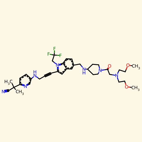 COCCN(CCOC)CC(=O)N1CCC(NCc2ccc3c(c2)cc(C#CCNc2ccc(C(C)(C)C#N)nc2)n3CC(F)(F)F)CC1